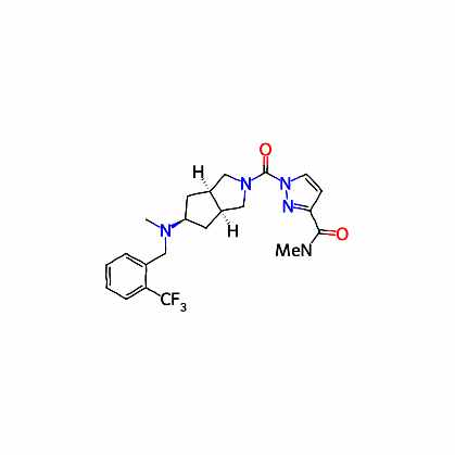 CNC(=O)c1ccn(C(=O)N2C[C@H]3C[C@@H](N(C)Cc4ccccc4C(F)(F)F)C[C@H]3C2)n1